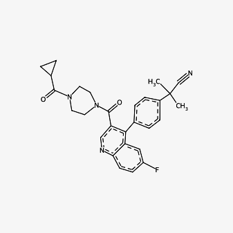 CC(C)(C#N)c1ccc(-c2c(C(=O)N3CCN(C(=O)C4CC4)CC3)cnc3ccc(F)cc23)cc1